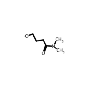 CN(C)C(=O)CCC[O]